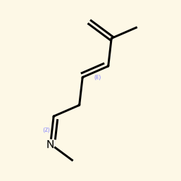 C=C(C)/C=C/C/C=N\C